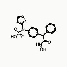 O=C(NO)C(c1ccccc1)c1ccc(N(c2cccs2)S(=O)(=O)O)cc1